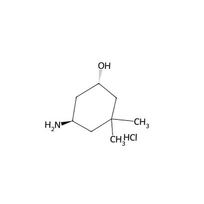 CC1(C)C[C@@H](N)C[C@H](O)C1.Cl